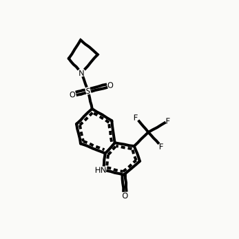 O=c1cc(C(F)(F)F)c2cc(S(=O)(=O)N3CCC3)ccc2[nH]1